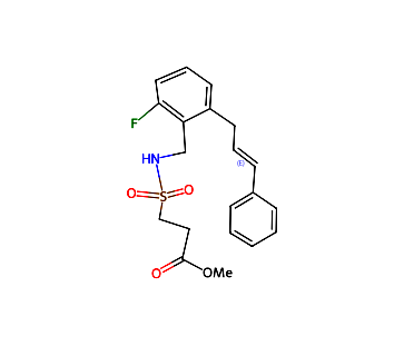 COC(=O)CCS(=O)(=O)NCc1c(F)cccc1C/C=C/c1ccccc1